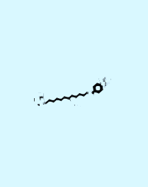 O=S(=O)([O-])c1ccc(OCCCCCCCCCCCCN(C(F)(F)F)C(F)(F)F)cc1.[Na+]